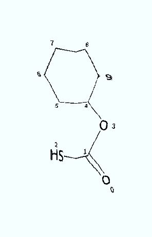 O=C(S)OC1CCCCC1